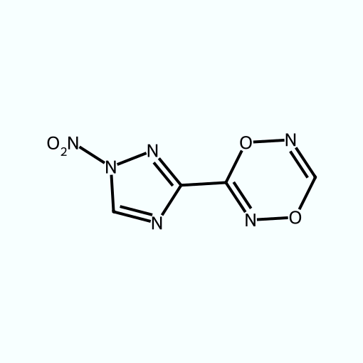 O=[N+]([O-])n1cnc(C2=NOC=NO2)n1